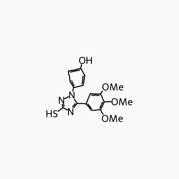 COc1cc(-c2nc(S)nn2-c2ccc(O)cc2)cc(OC)c1OC